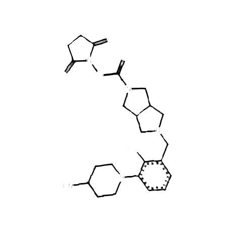 Cc1c(CN2CC3CN(C(=O)ON4C(=O)CCC4=O)CC3C2)cccc1N1CCC(N)CC1